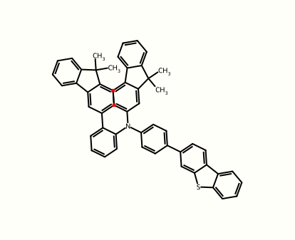 CC1(C)c2ccccc2-c2cc(-c3ccccc3N(c3ccc(-c4ccc5c(c4)sc4ccccc45)cc3)c3ccc4c(c3)C(C)(C)c3ccccc3-4)ccc21